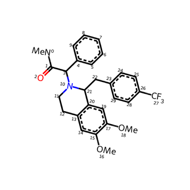 CNC(=O)C(c1ccccc1)N1CCc2cc(OC)c(OC)cc2C1Cc1ccc(C(F)(F)F)cc1